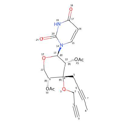 C#CCO[C@]1(CC#CC)[C@H](OC(C)=O)CO[C@@H](n2ccc(=O)[nH]c2=O)[C@@H]1OC(C)=O